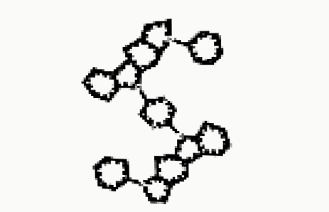 c1ccc(-n2ccc3cc4c5ccccc5n(-c5cnc(-n6c7ccccc7c7cc8ccn(-c9ccccc9)c8cc76)cn5)c4cc32)cc1